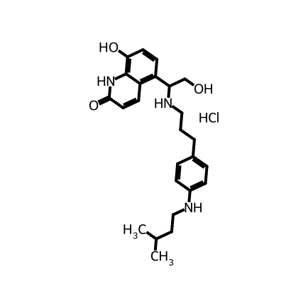 CC(C)CCNc1ccc(CCCNC(CO)c2ccc(O)c3[nH]c(=O)ccc23)cc1.Cl